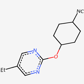 [C-]#[N+]C1CCC(Oc2ncc(CC)cn2)CC1